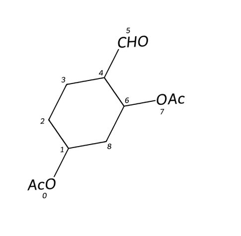 CC(=O)OC1CCC(C=O)C(OC(C)=O)C1